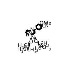 CO[C@]1(C#N)CC[C@@H](c2cc(N(COCC[Si](C)(C)C)COCC[Si](C)(C)C)n3nccc3n2)CC1